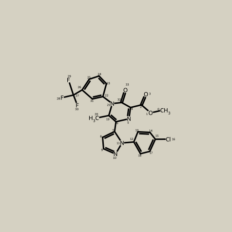 COC(=O)c1nc(-c2ccnn2-c2ccc(Cl)cc2)c(C)n(-c2cccc(C(F)(F)F)c2)c1=O